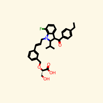 CCc1ccc(C(=O)C2c3cccc(F)c3N(C/C=C/c3cccc(CO[C@@H](CO)C(=O)O)c3)C2C(C)C)cc1